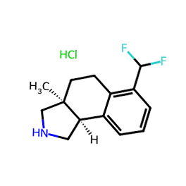 C[C@]12CCc3c(C(F)F)cccc3[C@H]1CNC2.Cl